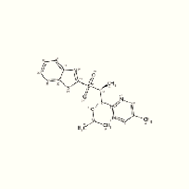 Cc1cnc([C@H](OC(C)C)[C@H](C)S(=O)(=O)c2nc3ccccc3s2)nc1